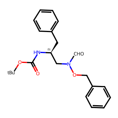 CC(C)(C)OC(=O)N[C@@H](Cc1ccccc1)CN(C=O)OCc1ccccc1